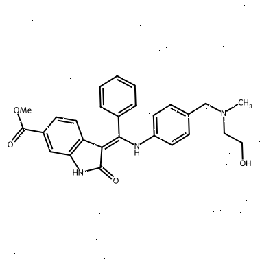 COC(=O)c1ccc2c(c1)NC(=O)/C2=C(\Nc1ccc(CN(C)CCO)cc1)c1ccccc1